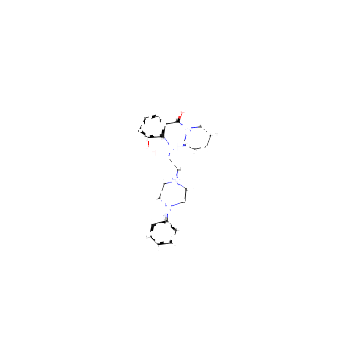 O=C(c1cccc(O)c1NCCN1CCN(c2ccccc2)CC1)N1CCCCC1